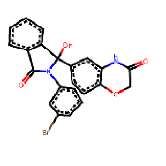 O=C1COc2ccc(C3(O)c4ccccc4C(=O)N3c3cccc(Br)c3)cc2N1